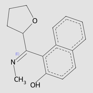 C/N=C(\c1c(O)ccc2ccccc12)C1CCCO1